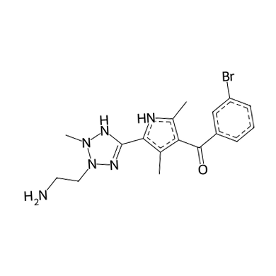 Cc1[nH]c(C2=NN(CCN)N(C)N2)c(C)c1C(=O)c1cccc(Br)c1